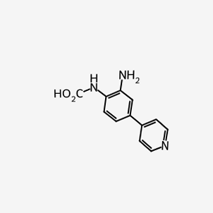 Nc1cc(-c2ccncc2)ccc1NC(=O)O